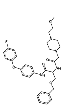 COCCN1CCN(CC(=O)NC(COCc2ccccc2)C(=O)Nc2ccc(Oc3ccc(F)cc3)cc2)CC1